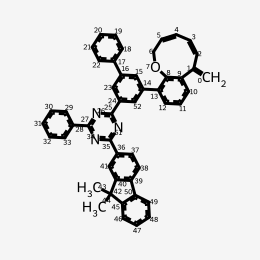 C=C1/C=C\C=C/COc2c1cccc2-c1cc(-c2ccccc2)cc(-c2nc(-c3ccccc3)nc(-c3ccc4c(c3)C(C)(C)c3ccccc3-4)n2)c1